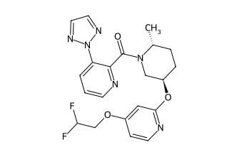 C[C@@H]1CC[C@@H](Oc2cc(OCC(F)F)ccn2)CN1C(=O)c1ncccc1-n1nccn1